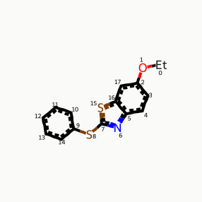 CCOc1ccc2nc(Sc3ccccc3)sc2c1